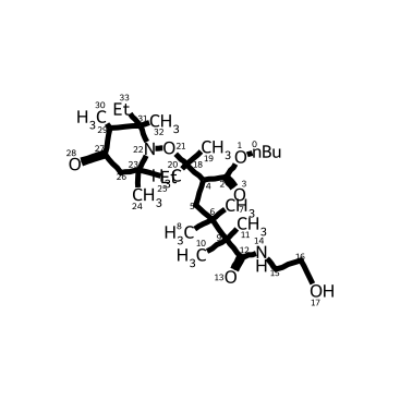 CCCCOC(=O)C(CC(C)(C)C(C)(C)C(=O)NCCO)C(C)(C)ON1C(C)(CC)CC(=O)C(C)C1(C)CC